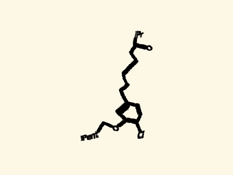 CCCC(C)COc1cc(CCCCCC(=O)C(C)C)ccc1Cl